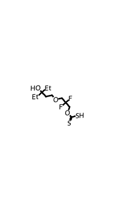 CCC(O)(CC)CCOCC(F)(F)COC(=S)S